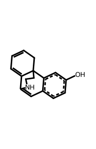 Oc1ccc2c(c1)C13CC=CC=C1C(=C2)NCC3